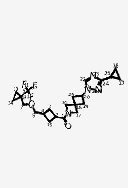 O=C(C1CC(COCC2(C(F)(F)F)CC2)C1)N1CC2(CC(n3cnc(C4CC4)n3)C2)C1